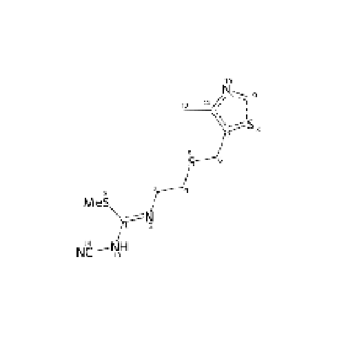 CS/C(=N\CCSCc1scnc1C)NC#N